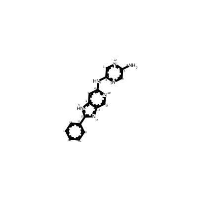 Nc1cnc(Nc2cc3[nH]c(-c4ccccc4)nc3cn2)cn1